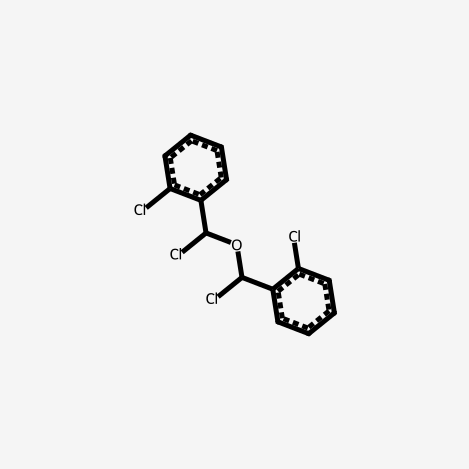 Clc1ccccc1C(Cl)OC(Cl)c1ccccc1Cl